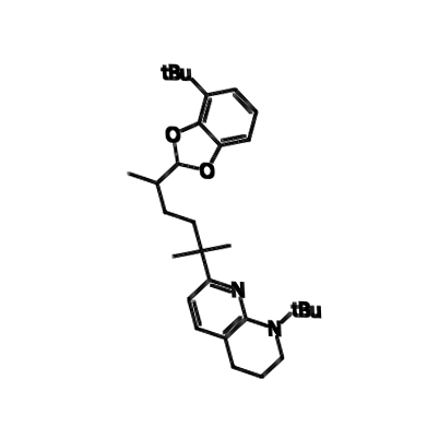 CC(CCC(C)(C)c1ccc2c(n1)N(C(C)(C)C)CCC2)C1Oc2cccc(C(C)(C)C)c2O1